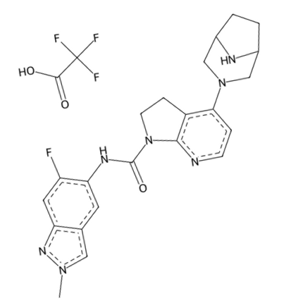 Cn1cc2cc(NC(=O)N3CCc4c(N5CC6CCC(C5)N6)ccnc43)c(F)cc2n1.O=C(O)C(F)(F)F